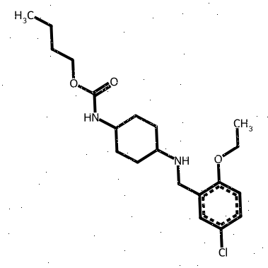 CCCCOC(=O)NC1CCC(NCc2cc(Cl)ccc2OCC)CC1